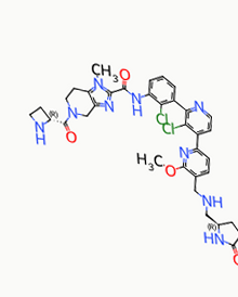 COc1nc(-c2ccnc(-c3cccc(NC(=O)c4nc5c(n4C)CCN(C(=O)[C@H]4CCN4)C5)c3Cl)c2Cl)ccc1CNC[C@H]1CCC(=O)N1